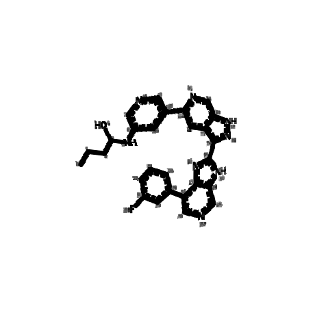 CCCC(O)Nc1cncc(-c2cc3c(-c4nc5c(-c6cccc(F)c6)cncc5[nH]4)n[nH]c3cn2)c1